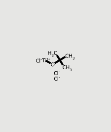 CC(C)(C)[O][Ti+3].[Cl-].[Cl-].[Cl-]